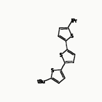 CC(C)c1ccc(-c2ccc(-c3ccc(C(C)(C)C)s3)s2)s1